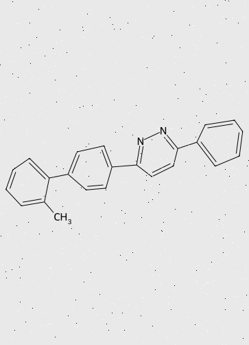 Cc1ccccc1-c1ccc(-c2ccc(-c3ccccc3)nn2)cc1